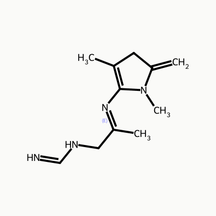 C=C1CC(C)=C(/N=C(\C)CNC=N)N1C